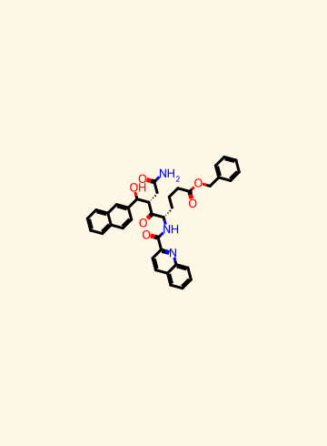 NC(=O)C[C@H](C(=O)[C@H](CCCC(=O)OCc1ccccc1)NC(=O)c1ccc2ccccc2n1)C(O)c1ccc2ccccc2c1